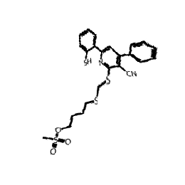 CS(=O)(=O)OCCCCSCSc1nc(-c2ccccc2S)cc(-c2ccccc2)c1C#N